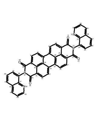 O=C1c2ccc3c4ccc5c6c(ccc(c7ccc(c2c37)C(=O)N1c1cccc2cccnc12)c64)C(=O)N(c1cccc2cccnc12)C5=O